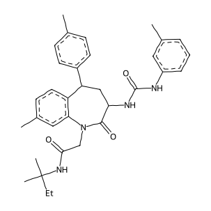 CCC(C)(C)NC(=O)CN1C(=O)C(NC(=O)Nc2cccc(C)c2)CC(c2ccc(C)cc2)c2ccc(C)cc21